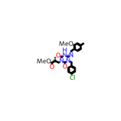 COC(=O)[C@@H](C)Cn1c(=O)[nH]/c(=N\Cc2ccc(C)cc2OC)n(Cc2ccc(Cl)cc2)c1=O